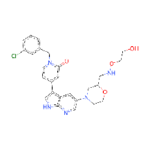 O=c1cc(-c2c[nH]c3ncc(N4CCOC(CNOCCO)C4)cc23)ccn1Cc1cccc(Cl)c1